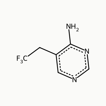 Nc1ncncc1CC(F)(F)F